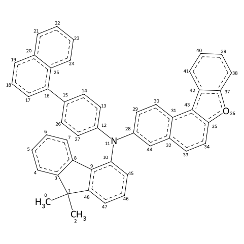 CC1(C)c2ccccc2-c2c(N(c3ccc(-c4cccc5ccccc45)cc3)c3ccc4c(ccc5oc6ccccc6c54)c3)cccc21